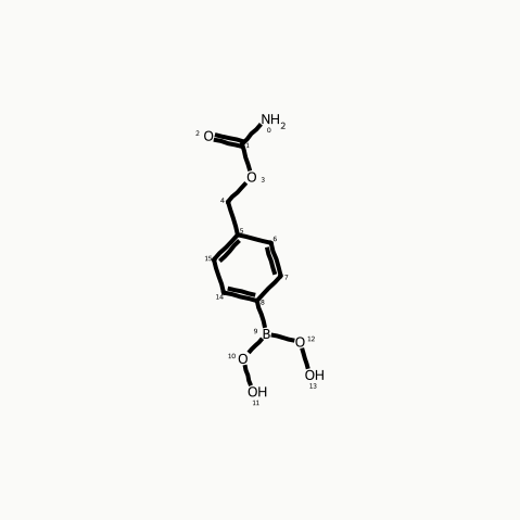 NC(=O)OCc1ccc(B(OO)OO)cc1